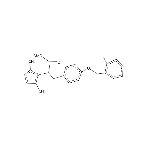 COC(=O)C(Cc1ccc(OCc2ccccc2F)cc1)n1c(C)ccc1C